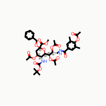 COC(=O)[C@@]1(OCc2ccccc2)C[C@H](OC(C)=O)[C@@H](NC(=O)OC(C)(C)C)[C@H]([C@H](OC(C)=O)[C@@H](CNC(=O)c2cc(C)c(OC(C)=O)c(C)c2)OC(C)=O)O1